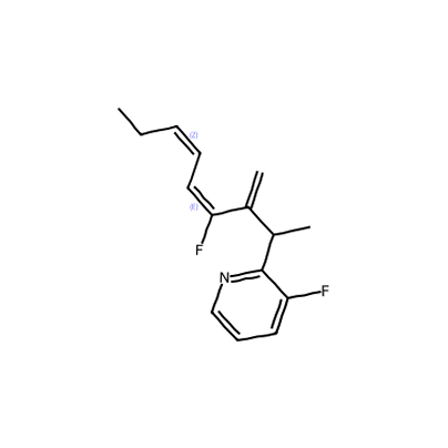 C=C(/C(F)=C\C=C/CC)C(C)c1ncccc1F